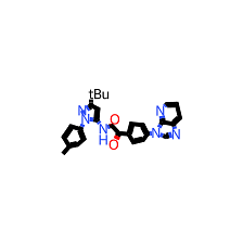 Cc1ccc(-n2nc(C(C)(C)C)cc2NC(=O)C(=O)c2ccc(-n3cnc4cccnc43)cc2)cc1